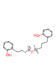 C[Si](C)(CCCc1ccccc1O)O[SiH2]CCCc1ccccc1O